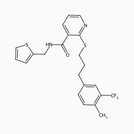 Cc1ccc(CCCSc2ncccc2C(=O)NCc2cccs2)cc1C(F)(F)F